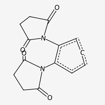 O=C1CCC(=O)N1c1ccccc1N1C(=O)CCC1=O